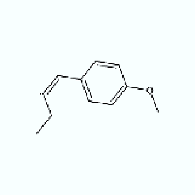 CC/[C]=C\c1ccc(OC)cc1